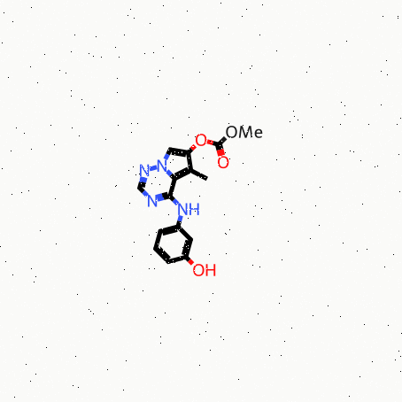 COC(=O)Oc1cn2ncnc(Nc3cccc(O)c3)c2c1C